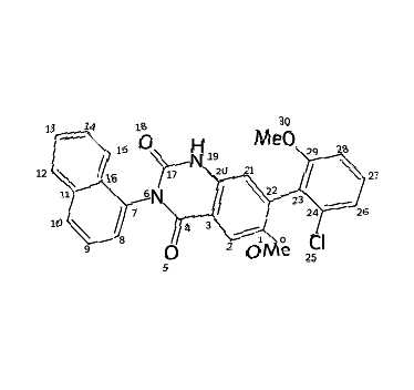 COc1cc2c(=O)n(-c3cccc4ccccc34)c(=O)[nH]c2cc1-c1c(Cl)cccc1OC